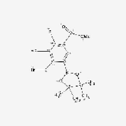 COC(=O)c1cc(B2OC(C)(C)C(C)(C)O2)c(CBr)c(F)c1F